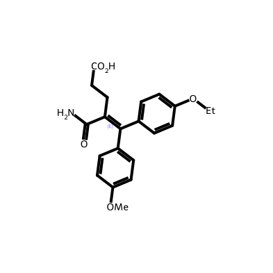 CCOc1ccc(/C(=C(\CCC(=O)O)C(N)=O)c2ccc(OC)cc2)cc1